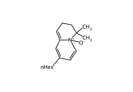 CCCCCCC1=CC2=CCCC(C)(C)[N+]2([O-])C=C1